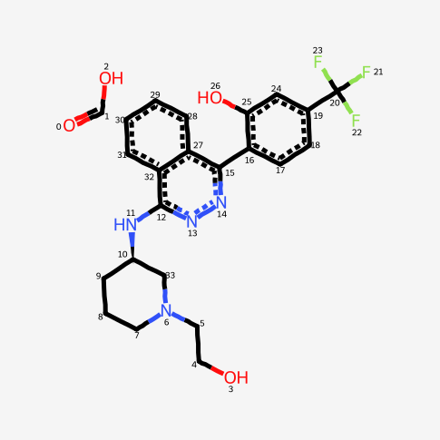 O=CO.OCCN1CCC[C@@H](Nc2nnc(-c3ccc(C(F)(F)F)cc3O)c3ccccc23)C1